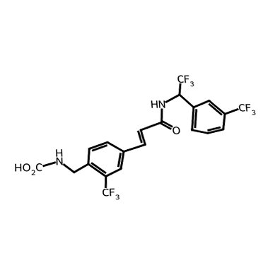 O=C(O)NCc1ccc(/C=C/C(=O)NC(c2cccc(C(F)(F)F)c2)C(F)(F)F)cc1C(F)(F)F